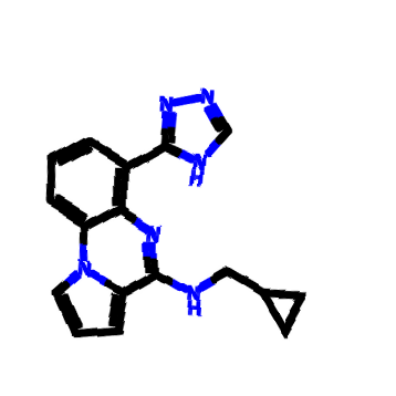 c1cc(-c2nnc[nH]2)c2nc(NCC3CC3)c3cccn3c2c1